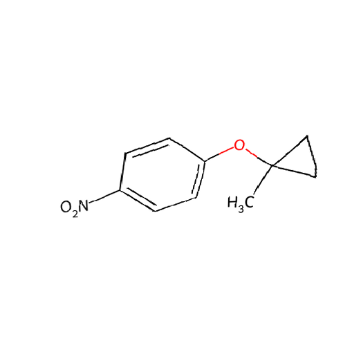 CC1(Oc2ccc([N+](=O)[O-])cc2)CC1